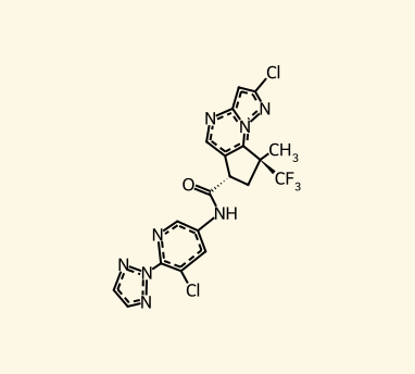 C[C@]1(C(F)(F)F)C[C@H](C(=O)Nc2cnc(-n3nccn3)c(Cl)c2)c2cnc3cc(Cl)nn3c21